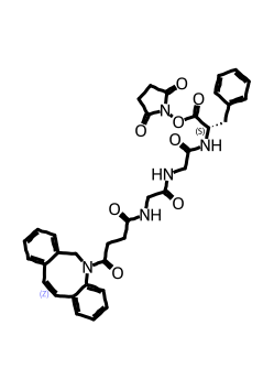 O=C(CCC(=O)N1Cc2ccccc2/C=C\c2ccccc21)NCC(=O)NCC(=O)N[C@@H](Cc1ccccc1)C(=O)ON1C(=O)CCC1=O